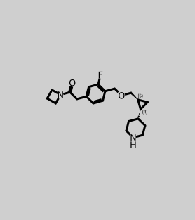 O=C(Cc1ccc(COC[C@H]2C[C@@H]2C2CCNCC2)c(F)c1)N1CCC1